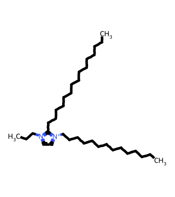 CCCCCCCCCCCCCCCc1n(CCC)cc[n+]1CCCCCCCCCCCCCC